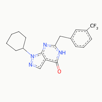 O=c1[nH]c(Cc2cccc(C(F)(F)F)c2)nc2c1cnn2C1CCCCC1